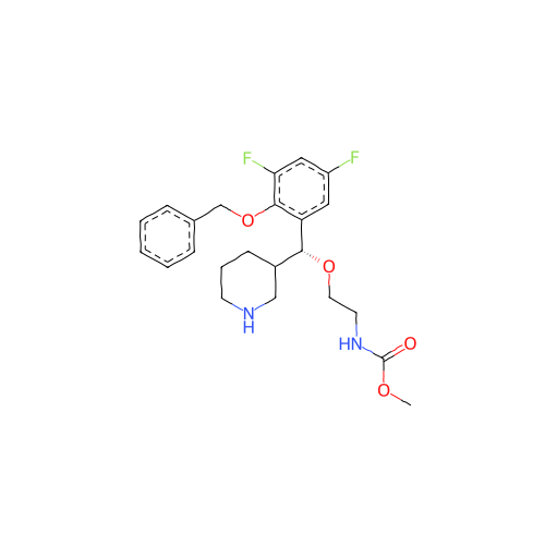 COC(=O)NCCO[C@@H](c1cc(F)cc(F)c1OCc1ccccc1)C1CCCNC1